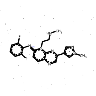 CNCCn1/c(=N/c2c(F)cccc2F)ccc2ncc(-c3cnn(C)c3)nc21